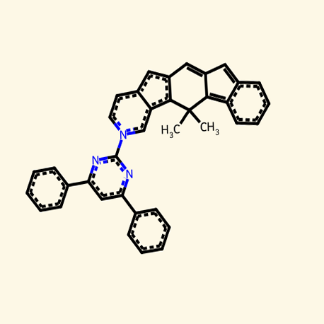 CC1(C)C2=c3ccccc3=CC2=Cc2cc3ccn(-c4nc(-c5ccccc5)cc(-c5ccccc5)n4)cc-3c21